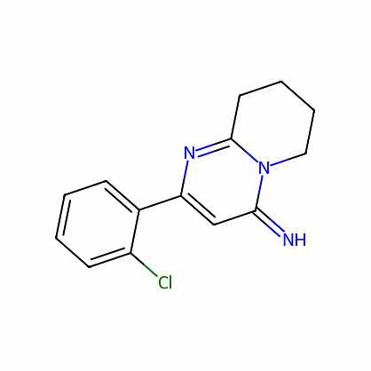 N=c1cc(-c2ccccc2Cl)nc2n1CCCC2